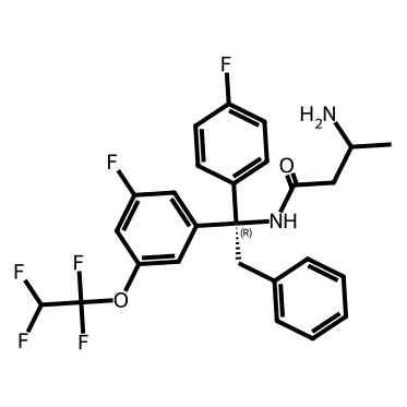 CC(N)CC(=O)N[C@](Cc1ccccc1)(c1ccc(F)cc1)c1cc(F)cc(OC(F)(F)C(F)F)c1